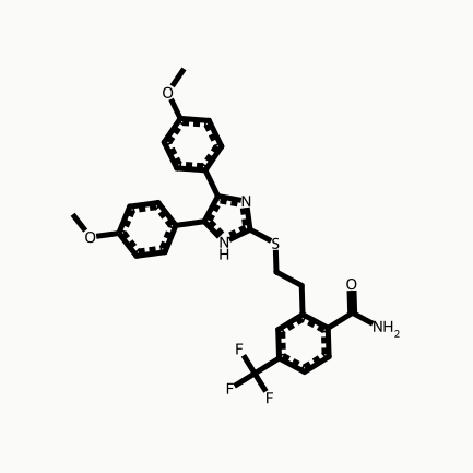 COc1ccc(-c2nc(SCCc3cc(C(F)(F)F)ccc3C(N)=O)[nH]c2-c2ccc(OC)cc2)cc1